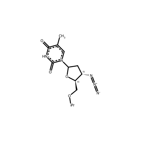 Cc1cn(C2C[C@H](N=[N+]=[N-])[C@@H](COC(C)C)O2)c(=O)[nH]c1=O